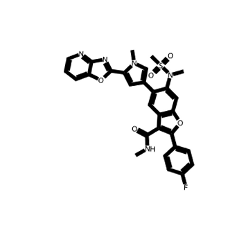 CNC(=O)c1c(-c2ccc(F)cc2)oc2cc(N(C)S(C)(=O)=O)c(-c3cc(-c4nc5ncccc5o4)n(C)c3)cc12